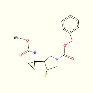 CC(C)(C)OC(=O)NC1([C@H]2CN(C(=O)OCc3ccccc3)C[C@H]2F)CC1